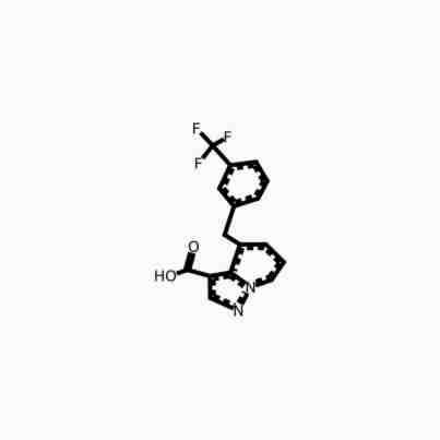 O=C(O)c1cnn2cccc(Cc3cccc(C(F)(F)F)c3)c12